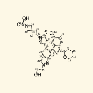 Cc1cc2c(cnn2C2CCCCO2)c(-c2c(-c3ccc4nn(CCO)cc4c3)nn(C3CC4(C3)CN(C(=O)O)C4)c2C)c1Cl